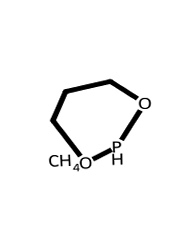 C.C1COPOC1